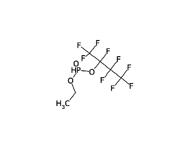 CCO[PH](=O)OC(F)(C(F)(F)F)C(F)(F)C(F)(F)F